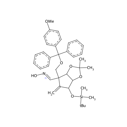 C=C1C(O[Si](C)(C)C(C)(C)C)C2OC(C)(C)OC2C1(/C=N/O)COC(c1ccccc1)(c1ccccc1)c1ccc(OC)cc1